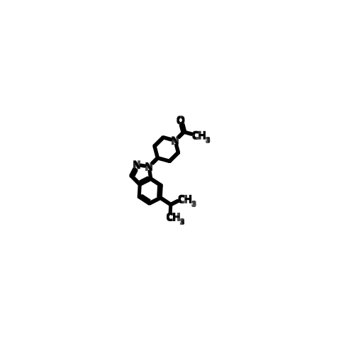 CC(=O)N1CCC(n2ncc3ccc(C(C)C)cc32)CC1